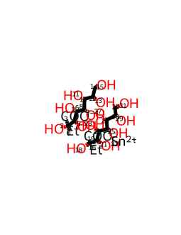 CCC(O)(C(=O)[O-])C(O)C(O)C(O)C(O)C(O)CO.CCC(O)(C(=O)[O-])C(O)C(O)C(O)C(O)C(O)CO.[Sn+2]